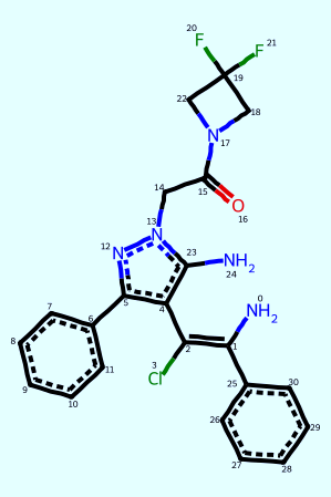 N/C(=C(/Cl)c1c(-c2ccccc2)nn(CC(=O)N2CC(F)(F)C2)c1N)c1ccccc1